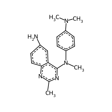 Cc1nc(N(C)c2ccc(N(C)C)cc2)c2cc(N)ccc2n1